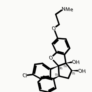 CNCCOc1ccc2c(c1)O[C@@]1(c3ccc(Cl)cc3)[C@H](c3ccccc3)C[C@H](O)[C@@]21O